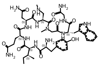 CC[C@H](C)[C@H](NC(=O)[C@@H](N)Cc1ccc(O)cc1)C(=O)N[C@@H](CCC(N)=O)C(=O)N[C@@H](CC(N)=O)C(=O)N[C@@H](CNC)C(=O)N(C)CC(=O)N[C@@H](Cc1c[nH]c2ccccc12)C(=O)NCC(N)=O